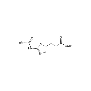 CCCC(=O)Nc1ncc(CCC(=O)OC)s1